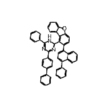 c1ccc(C2=NC(c3ccc(-c4ccccc4)cc3)=NC(c3c(-c4ccc(-c5ccccc5)c5ccccc45)ccc4oc5ccccc5c34)N2)cc1